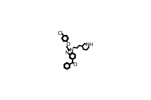 O=C(c1ccccc1)c1ccc2c(c1)nc(COc1ccc(Cl)cc1)n2CCCC1CCCNC1